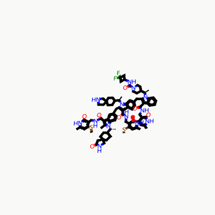 CSc1cc(C)[nH]c(=O)c1CNC(=O)c1c(C)n([C@H](C)C2CCC3(CC2)CNC(=O)C3)c2ccc(Cc3c(C(=O)NCc4c(SC)cc(C)[nH]c4=O)c4ccc(Cc5c(C(=O)NCc6c(SC)cc(C)[nH]c6=O)c6ccccc6n5[C@H](C)C5CCN(C(=O)NC6CC(F)(F)C6)CC5)cc4n3[C@H](C)C3CCC4(CCNC4)CC3)cc12